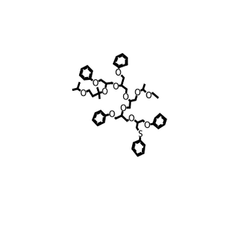 CCOC(C)OCC(COC(COc1ccccc1)COC(COc1ccccc1)CSc1ccccc1)OCC(COc1ccccc1)OCC(COc1ccccc1)OC(C)(C)CCOC(C)C